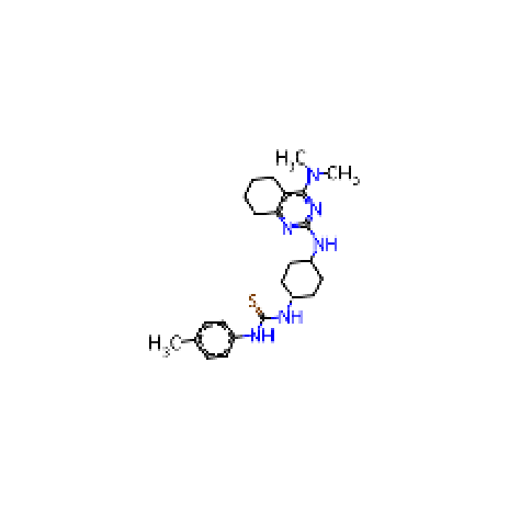 Cc1ccc(NC(=S)NC2CCC(Nc3nc4c(c(N(C)C)n3)CCCC4)CC2)cc1